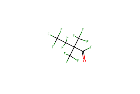 O=C(F)C(C(F)(F)F)(C(F)(F)F)C(F)(F)C(F)(F)F